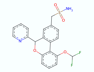 NS(=O)(=O)Cc1ccc2c(c1)C(c1ccccn1)Oc1cccc(OC(F)F)c1-2